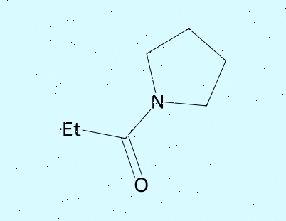 C[CH]C(=O)N1CCCC1